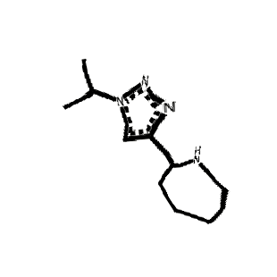 CC(C)n1cc(C2CCCCN2)nn1